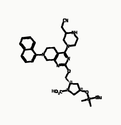 CC(C)(C)[Si](C)(C)O[C@@H]1C[C@@H](COc2nc3c(c(N4CCNC(CC#N)C4)n2)CCN(c2cccc4ccccc24)C3)N(C(=O)O)C1